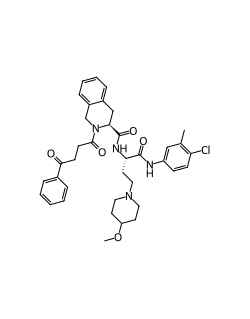 COC1CCN(CC[C@H](NC(=O)[C@@H]2Cc3ccccc3CN2C(=O)CCC(=O)c2ccccc2)C(=O)Nc2ccc(Cl)c(C)c2)CC1